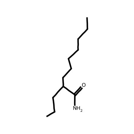 CCCCCCCC(CCC)C(N)=O